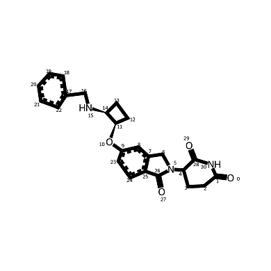 O=C1CCC(N2Cc3cc(O[C@@H]4CC[C@@H]4NCc4ccccc4)ccc3C2=O)C(=O)N1